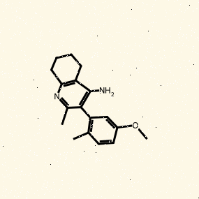 COc1ccc(C)c(-c2c(C)nc3c(c2N)CCCC3)c1